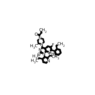 C=CC(=O)N1CCN(c2nc(=O)n(-c3c(C(C)C)ccnc3C(C)C)c3nc(-c4ccccc4C=C)c(F)cc23)[C@@H](C)C1